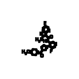 CN1CCN(C(=O)C2CCN(c3c(F)cncc3NC(=O)c3c(N)nn4cc(F)cnc34)C2)CC1